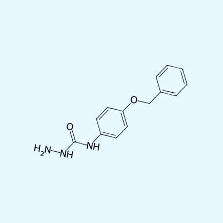 NNC(=O)Nc1ccc(OCc2ccccc2)cc1